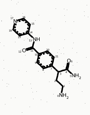 NCCC(C(N)=O)c1ccc(C(=O)Nc2ccncc2)cc1